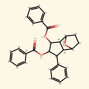 O=C(OC1C(OC(=O)c2ccccc2)C2C3CCC(O3)C2C1c1ccccc1)c1ccccc1